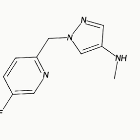 CNc1cnn(Cc2ccc(F)cn2)c1